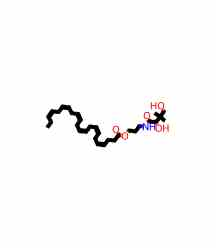 CC/C=C\C/C=C\C/C=C\C/C=C\C/C=C\C/C=C\CCC(=O)OCCCNC(=O)C(O)C(C)(C)CO